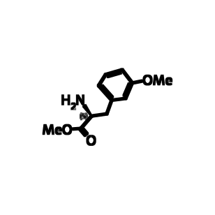 COC(=O)[C@@H](N)Cc1cccc(OC)c1